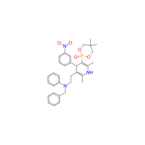 CC1=C(CCN(Cc2ccccc2)c2ccccc2)C(c2cccc([N+](=O)[O-])c2)C(P2(=O)OCC(C)(C)CO2)=C(C)N1